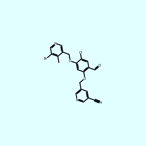 Cc1c(Br)cncc1COc1cc(OCc2cncc(C#N)c2)c(C=O)cc1Cl